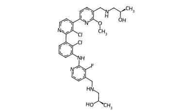 COc1nc(-c2ccnc(-c3cccc(Nc4nccc(CNC[C@@H](C)O)c4F)c3Cl)c2Cl)ccc1CNC[C@@H](C)O